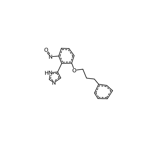 O=Nc1cccc(OCCCc2ccccc2)c1-c1cnc[nH]1